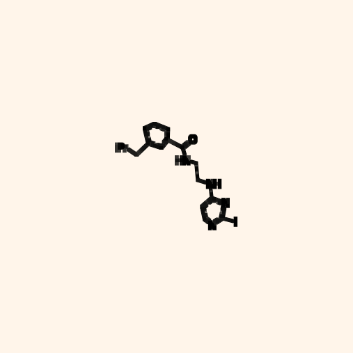 CC(C)Cc1cccc(C(=O)NCCNc2ccnc(I)n2)c1